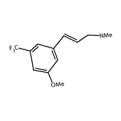 CNCC=Cc1cc(OC)cc(C(F)(F)F)c1